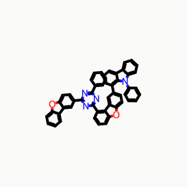 c1ccc(-c2nc(-c3ccc4oc5ccccc5c4c3)nc(-c3cccc4oc5ccc(-c6cccc7c8ccccc8n(-c8ccccc8)c67)cc5c34)n2)cc1